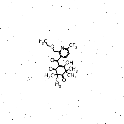 CC1(C)C(=O)C(C(=O)c2ccc(C(F)(F)F)nc2COCC(F)(F)F)=C(O)C(C)(C)C1=O